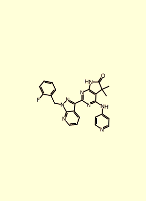 CC1(C)C(=O)Nc2nc(-c3nn(Cc4ccccc4F)c4ncccc34)nc(Nc3ccncc3)c21